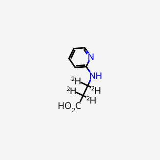 [2H]C([2H])(Nc1ccccn1)C([2H])([2H])C(=O)O